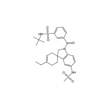 CCC1=CCC2(CC1)CN(C(=O)c1cccc(S(=O)(=O)NC(C)(C)C)c1)c1ccc(NS(C)(=O)=O)cc12